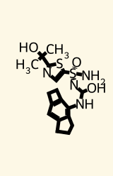 CC(C)(O)c1ncc(S(N)(=O)=NC(O)Nc2c3c(cc4c2CC4)CCC3)s1